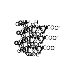 NC(=O)[C@H](Cc1c[nH]c2ccccc12)NC(=O)CNC(=O)CNC(=O)CN1CCN(CC(=O)[O-])CCN(CC(=O)[O-])CC1.NC(=O)[C@H](Cc1c[nH]c2ccccc12)NC(=O)CNC(=O)CNC(=O)CN1CCN(CC(=O)[O-])CCN(CC(=O)[O-])CC1.NC(=O)[C@H](Cc1c[nH]c2ccccc12)NC(=O)CNC(=O)CNC(=O)CN1CCN(CC(=O)[O-])CCN(CC(=O)[O-])CC1.[Ga+3].[Ga+3]